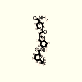 NC(=O)C1CCN(C(=O)Cn2cc3cc(NC(=O)c4cccc(C(F)(F)F)n4)ccc3n2)CC1